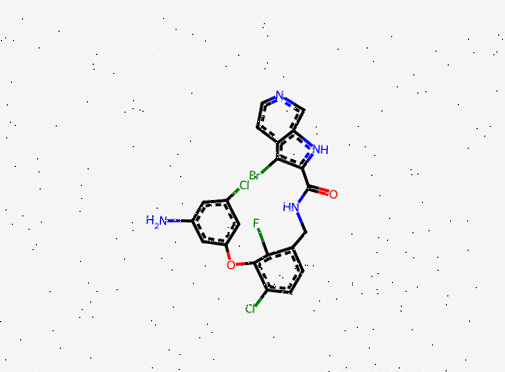 Nc1cc(Cl)cc(Oc2c(Cl)ccc(CNC(=O)c3[nH]c4cnccc4c3Br)c2F)c1